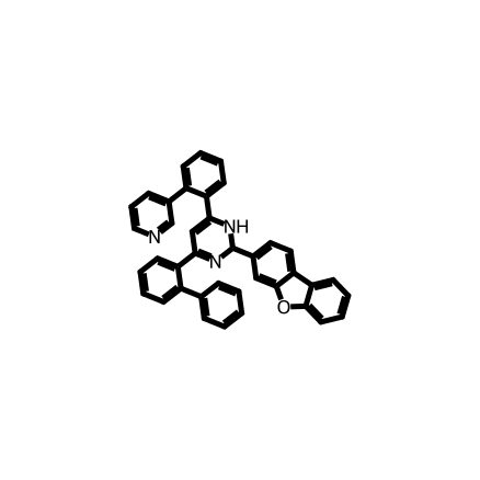 C1=C(c2ccccc2-c2cccnc2)NC(c2ccc3c(c2)oc2ccccc23)N=C1c1ccccc1-c1ccccc1